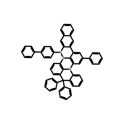 c1ccc(-c2ccc(N3B4c5cccc6c5N(c5ccccc5C6(c5ccccc5)c5ccccc5)c5cc(-c6ccccc6)cc(c54)-c4cc5ccccc5cc43)cc2)cc1